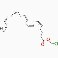 CC/C=C\C/C=C\C/C=C\C/C=C\C/C=C\CCCC(=O)OCCl